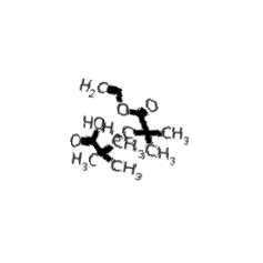 C=COC(=O)C(C)(C)C.CC(C)(C)C(=O)O